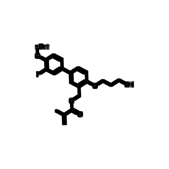 C=C(C)C(=O)OCc1cc(-c2ccc(OCCCCCCCC)c(F)c2)ccc1OCCCO